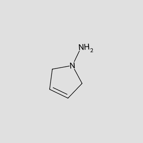 NN1CC=CC1